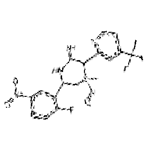 CS1(N=O)CC(c2cc([N+](=O)[O-])ccc2F)NC(=N)C1c1cc(C(F)(F)F)ccn1